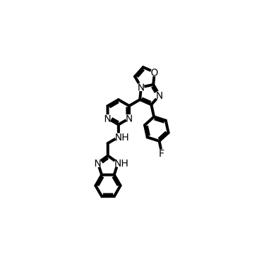 Fc1ccc(-c2nc3occn3c2-c2ccnc(NCc3nc4ccccc4[nH]3)n2)cc1